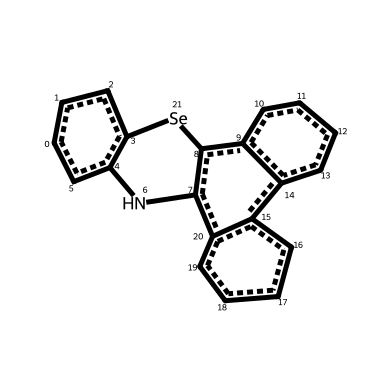 c1ccc2c(c1)Nc1c(c3ccccc3c3ccccc13)[Se]2